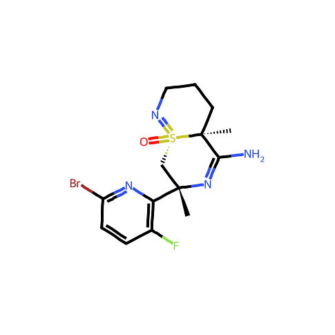 C[C@@]12CCCN=[S@@]1(=O)C[C@@](C)(c1nc(Br)ccc1F)N=C2N